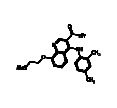 CCCC(=O)c1cnc2c(OCCSC)cccc2c1Nc1ccc(C)cc1C